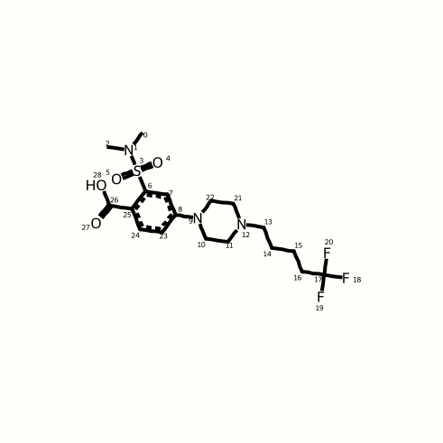 CN(C)S(=O)(=O)c1cc(N2CCN(CCCCC(F)(F)F)CC2)ccc1C(=O)O